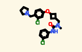 CN(CC1CC(Oc2ccc(CN3CCCC3)c(Cl)c2)C1)C(=O)Nc1cccc(Cl)c1